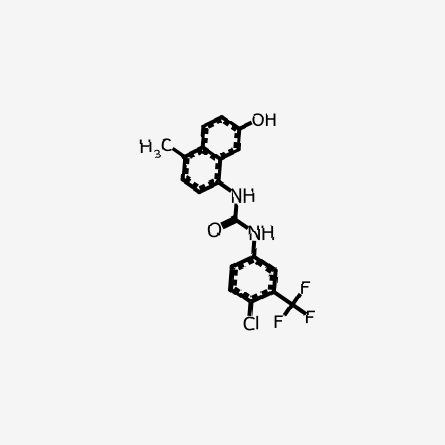 Cc1ccc(NC(=O)Nc2ccc(Cl)c(C(F)(F)F)c2)c2cc(O)ccc12